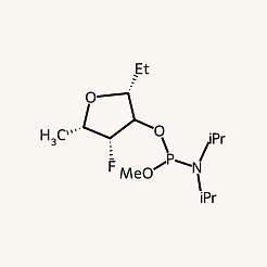 CC[C@H]1O[C@@H](C)[C@@H](F)C1OP(OC)N(C(C)C)C(C)C